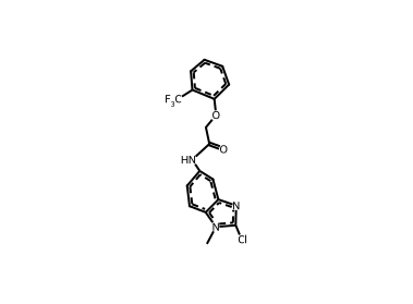 Cn1c(Cl)nc2cc(NC(=O)COc3ccccc3C(F)(F)F)ccc21